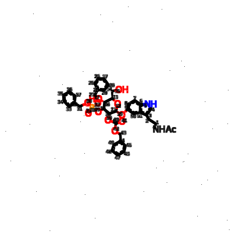 CC(=O)NCCc1c[nH]c2ccc(O[C@@H]3O[C@H](CO)[C@@H](O)[C@H](OP(=O)(OCc4ccccc4)OCc4ccccc4)[C@H]3OC(=O)OCc3ccccc3)cc12